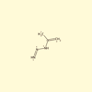 C=C(C)NN=N